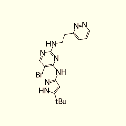 CC(C)(C)c1cc(Nc2nc(NCCc3cccnn3)ncc2Br)n[nH]1